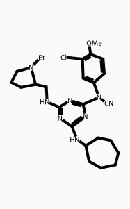 CCN1CCCC1CNc1nc(NC2CCCCCC2)nc(N(C#N)c2ccc(OC)c(Cl)c2)n1